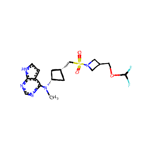 CN(c1ncnc2[nH]ccc12)[C@H]1C[C@@H](CS(=O)(=O)N2CC(COC(F)F)C2)C1